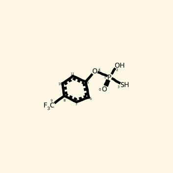 O=P(O)(S)Oc1ccc(C(F)(F)F)cc1